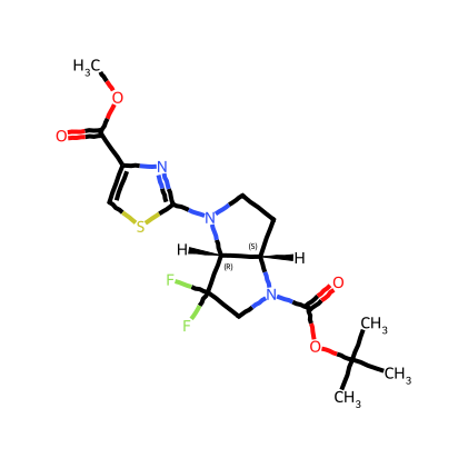 COC(=O)c1csc(N2CC[C@H]3[C@@H]2C(F)(F)CN3C(=O)OC(C)(C)C)n1